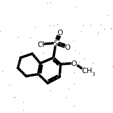 COc1ccc2c(c1S(=O)(=O)Cl)CCCC2